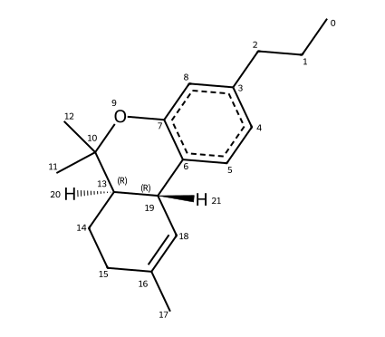 CCCc1ccc2c(c1)OC(C)(C)[C@@H]1CCC(C)=C[C@@H]21